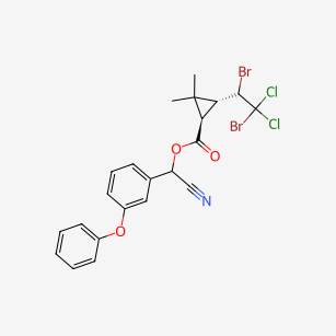 CC1(C)[C@H](C(=O)OC(C#N)c2cccc(Oc3ccccc3)c2)[C@H]1C(Br)C(Cl)(Cl)Br